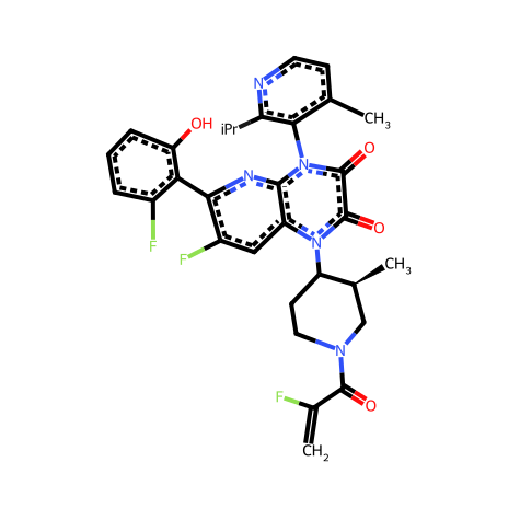 C=C(F)C(=O)N1CCC(n2c(=O)c(=O)n(-c3c(C)ccnc3C(C)C)c3nc(-c4c(O)cccc4F)c(F)cc32)[C@@H](C)C1